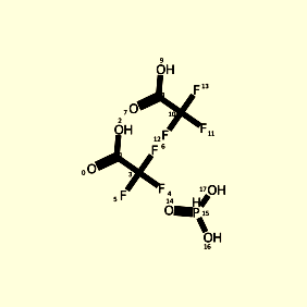 O=C(O)C(F)(F)F.O=C(O)C(F)(F)F.O=[PH](O)O